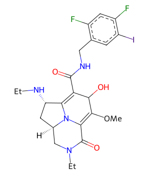 CCN[C@H]1C[C@@H]2CN(CC)C(=O)C3=C(OC)C(O)C(C(=O)NCc4cc(I)c(F)cc4F)=C1N32